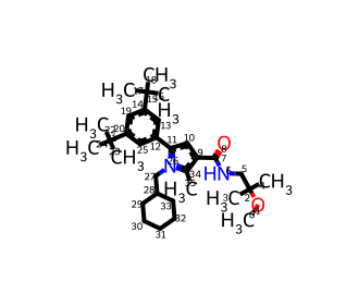 COC(C)(C)CNC(=O)c1cc(-c2cc(C(C)(C)C)cc(C(C)(C)C)c2)n(CC2CCCCC2)c1C